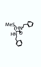 CSCC[C@H](NCCc1ccccc1)C(=O)NCCc1ccccc1